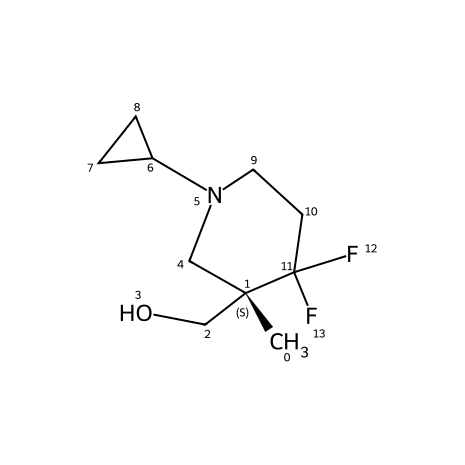 C[C@@]1(CO)CN(C2CC2)CCC1(F)F